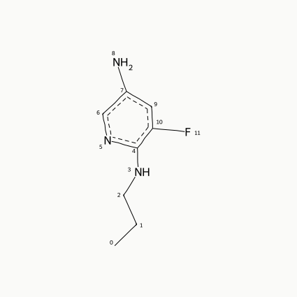 CCCNc1ncc(N)cc1F